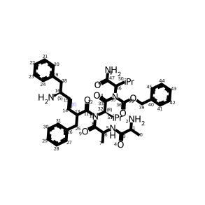 CC(N)C(=O)NC(C)C(=O)N(C(=O)C(/C=C/[C@@H](N)Cc1ccccc1)Cc1ccccc1)[C@@H](C(=O)N(C(=O)OCc1ccccc1)C(C(N)=O)C(C)C)C(C)C